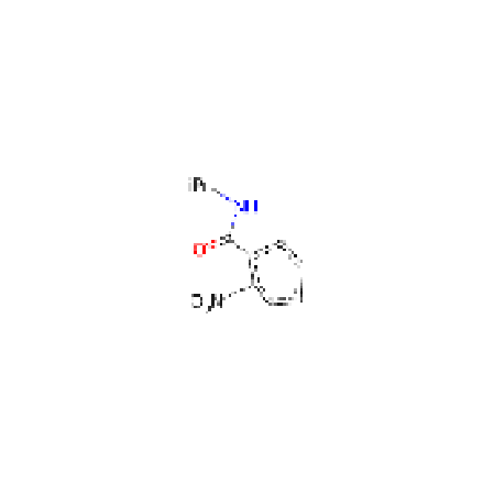 CC(C)NC(=O)c1ccccc1[N+](=O)[O-]